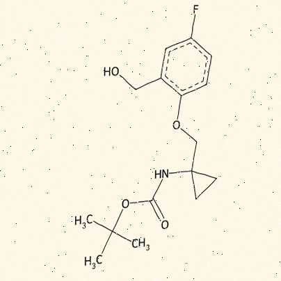 CC(C)(C)OC(=O)NC1(COc2ccc(F)cc2CO)CC1